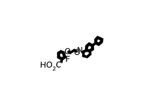 O=C(O)Cc1cccc(OCCO/N=C2\CCCc3cc(-c4ccccc4)ccc32)c1F